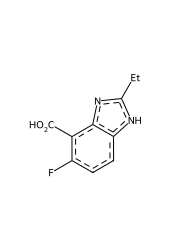 CCc1nc2c(C(=O)O)c(F)ccc2[nH]1